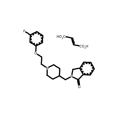 O=C(O)C=CC(=O)O.O=C1c2ccccc2CN1CC1CCN(CCOc2cccc(F)c2)CC1